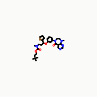 CN(CCC(Oc1cccc(N2CCN(C)c3ncncc3C2=O)c1)c1cccs1)C(=O)OCC[Si](C)(C)C